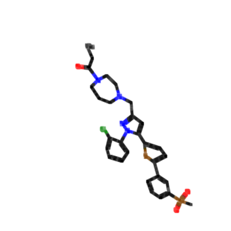 CC(C)(C)CC(=O)N1CCCN(Cc2cc(-c3ccc(-c4cccc(S(C)(=O)=O)c4)s3)n(-c3ccccc3Cl)n2)CC1